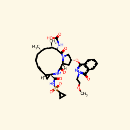 COCCn1nc(O[C@@H]2C[C@H]3C(=O)N[C@]4(C(=O)NS(=O)(=O)C5CC5)C[C@H]4C=CCC[C@H](C)C[C@@H](C)[C@H](NC(=O)O)C(=O)N3C2)c2ccccc2c1=O